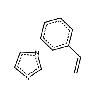 C=Cc1ccccc1.c1cscn1